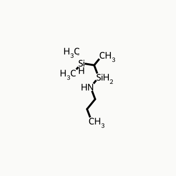 CCCN[SiH2]C(C)[SiH](C)C